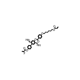 C=CC(=O)OCCCCCCOc1ccc(C(=O)Oc2cc(C=N)c(-c3ccc(OC(=O)C(=C)F)cc3)cc2C=N)cc1